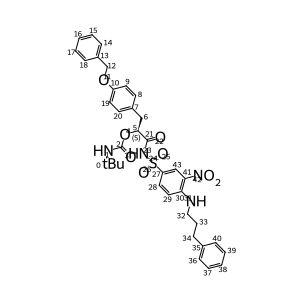 CC(C)(C)NC(=O)O[C@@H](Cc1ccc(OCc2ccccc2)cc1)C(=O)NS(=O)(=O)c1ccc(NCCCc2ccccc2)c([N+](=O)[O-])c1